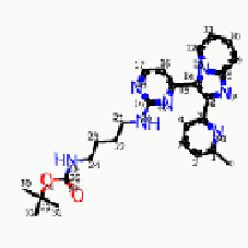 Cc1cccc(-c2nc3ccccn3c2-c2ccnc(NCCCCNC(=O)OC(C)(C)C)n2)n1